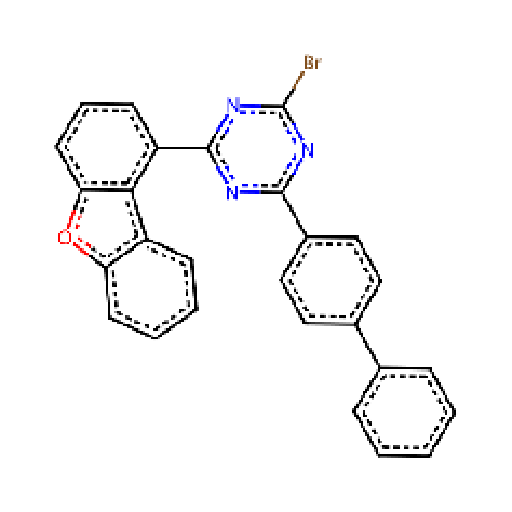 Brc1nc(-c2ccc(-c3ccccc3)cc2)nc(-c2cccc3oc4ccccc4c23)n1